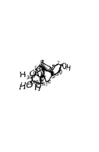 C[C@]12CC[C@@H]3c4ccc(O)cc4CC[C@H]3[C@@]13C[C@H]3[C@H](O)C2